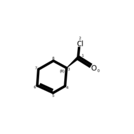 O=C(Cl)[C@H]1CC=CCC1